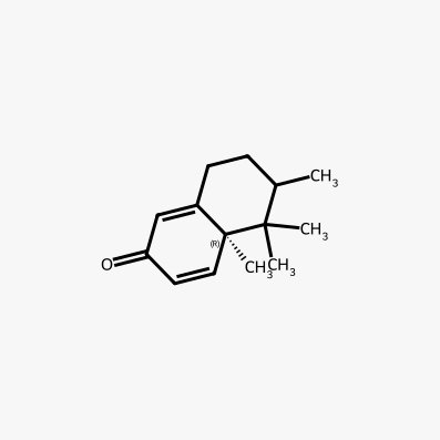 CC1CCC2=CC(=O)C=C[C@]2(C)C1(C)C